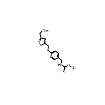 CCCCCCCCCCCc1noc(CCc2ccc(CNC(=O)OC(C)(C)C)cc2)n1